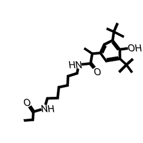 CCC(=O)NCCCCCCNC(=O)C(C)c1cc(C(C)(C)C)c(O)c(C(C)(C)C)c1